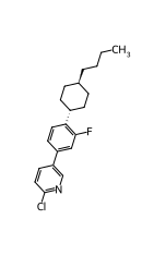 CCCC[C@H]1CC[C@H](c2ccc(-c3ccc(Cl)nc3)cc2F)CC1